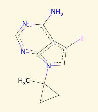 CC1(n2cc(I)c3c(N)ncnc32)CC1